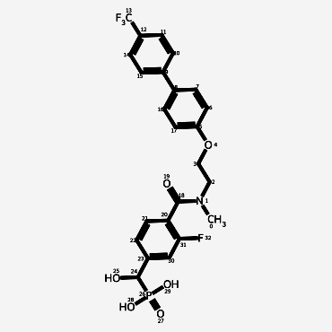 CN(CCOc1ccc(-c2ccc(C(F)(F)F)cc2)cc1)C(=O)c1ccc(C(O)P(=O)(O)O)cc1F